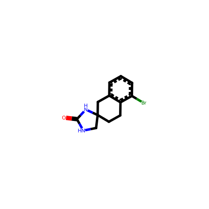 O=C1NCC2(CCc3c(Br)cccc3C2)N1